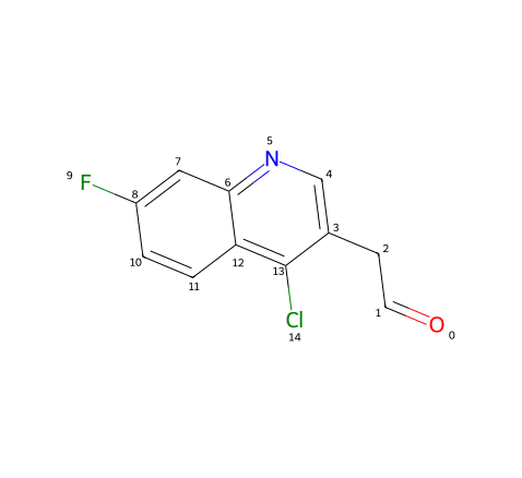 O=CCc1cnc2cc(F)ccc2c1Cl